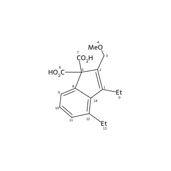 CCC1=C(COC)C(C(=O)O)(C(=O)O)c2cccc(CC)c21